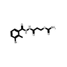 Cc1c(Br)cccc1C(=O)NNC(=O)CCOC(N)=O